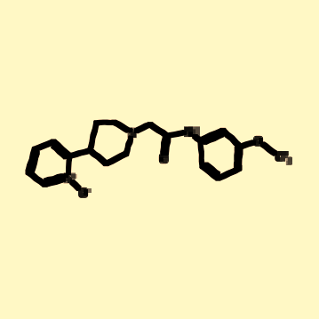 O=C(CN1CCC(c2cccc[n+]2[O-])CC1)Nc1cccc(OC(F)(F)F)c1